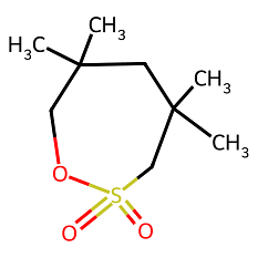 CC1(C)COS(=O)(=O)CC(C)(C)C1